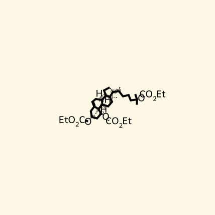 CCOC(=O)O[C@@H]1CC2=CC[C@H]3[C@@H]4CC[C@H]([C@H](C)CCCC(C)(C)OC(=O)OCC)[C@@]4(C)CC[C@@H]3[C@@]2(C)[C@@H](OC(=O)OCC)C1